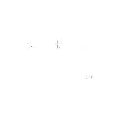 CC(C)(C)C1CCC(O)NC1=O